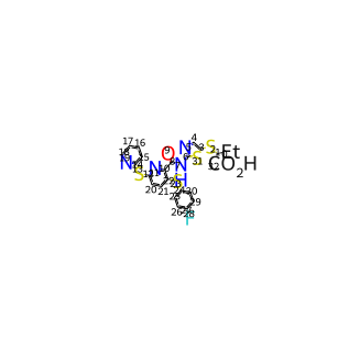 CCC(Sc1cnc(NC(=O)c2nc(Sc3ccccn3)ccc2Sc2ccc(F)cc2)s1)C(=O)O